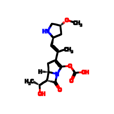 CO[C@H]1CN[C@H](C=C(C)C2=C(OC(=O)O)N3C(=O)[C@H]([C@@H](C)O)[C@H]3C2)C1